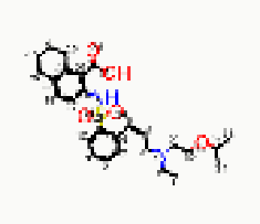 CCN(C/C=C\c1ccccc1S(=O)(=O)Nc1ccc2c(c1C(=O)O)CCCC2)CCOC(C)C